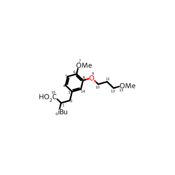 CCC(C)C(Cc1ccc(OC)c(OCCCOC)c1)C(=O)O